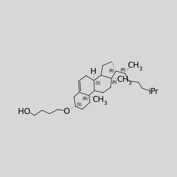 CC(C)CCC[C@@H](C)[C@H]1CCC2[C@@H]3CC=C4C[C@@H](OCCCCO)CC[C@]4(C)C3CC[C@@]21C